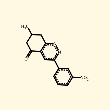 CC1CC(=O)c2cc(-c3cccc([N+](=O)[O-])c3)nnc2C1